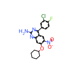 Nc1nc(-c2ccc(F)c(Cl)c2)c2cc([N+](=O)[O-])c(OC3CCCCC3)cc2n1